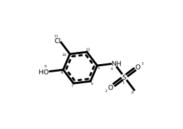 CS(=O)(=O)Nc1ccc(O)c(Cl)c1